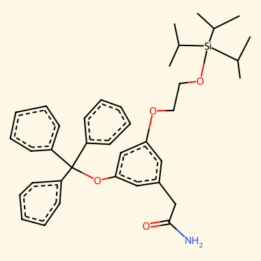 CC(C)[Si](OCCOc1cc(CC(N)=O)cc(OC(c2ccccc2)(c2ccccc2)c2ccccc2)c1)(C(C)C)C(C)C